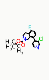 CC(C)(C)OC(=O)N1CCc2c(F)ccc(-c3ccncc3Cl)c2C1